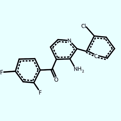 Nc1c(C(=O)c2ccc(F)cc2F)ccnc1-c1ccccc1Cl